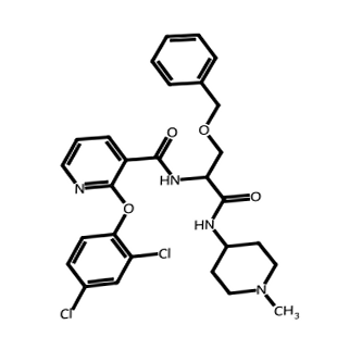 CN1CCC(NC(=O)C(COCc2ccccc2)NC(=O)c2cccnc2Oc2ccc(Cl)cc2Cl)CC1